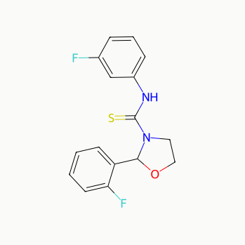 Fc1cccc(NC(=S)N2CCOC2c2ccccc2F)c1